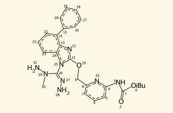 CC(C)COC(=O)Nc1cccc(COc2nc3c(-c4ccccc4)cccc3n2/C(=N/N)N(C)N)n1